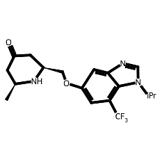 CC(C)n1cnc2cc(OC[C@@H]3CC(=O)C[C@H](C)N3)cc(C(F)(F)F)c21